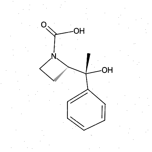 C[C@@](O)(c1ccccc1)[C@@H]1CCN1C(=O)O